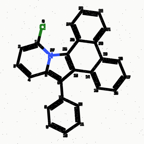 Clc1cccc2c(-c3ccccc3)c3c4ccccc4c4ccccc4c3n12